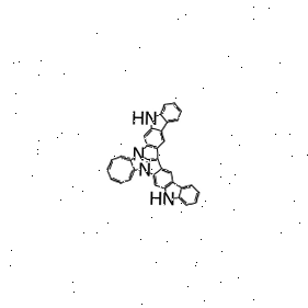 C1=C\C=c2/c(n3c4cc5[nH]c6ccccc6c5cc4c4c5cc6c(cc5n2c43)[nH]c2ccccc26)=C\C=C/1